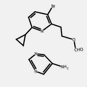 Nc1cncnc1.O=COCCc1nc(C2CC2)ccc1Br